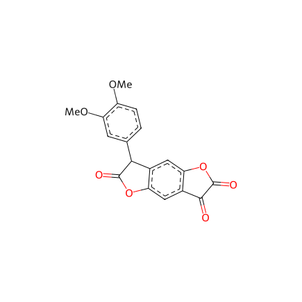 COc1ccc(C2C(=O)Oc3cc4c(cc32)OC(=O)C4=O)cc1OC